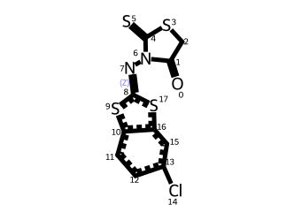 O=C1CSC(=S)N1/N=c1/sc2ccc(Cl)cc2s1